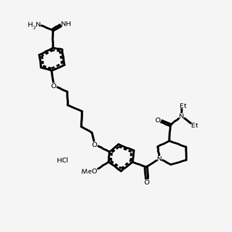 CCN(CC)C(=O)C1CCCN(C(=O)c2ccc(OCCCCCOc3ccc(C(=N)N)cc3)c(OC)c2)C1.Cl